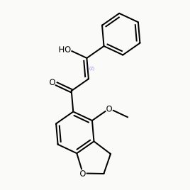 COc1c(C(=O)/C=C(\O)c2ccccc2)ccc2c1CCO2